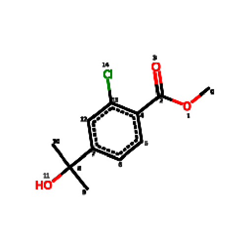 COC(=O)c1ccc(C(C)(C)O)cc1Cl